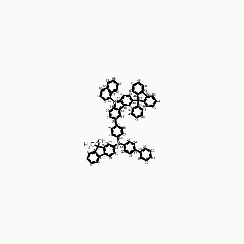 CC1(C)c2ccccc2-c2ccc(N(c3ccc(-c4ccccc4)cc3)c3ccc(-c4ccc5c(c4)c4cc(C6(c7ccccc7)c7ccccc7-c7ccccc76)ccc4n5-c4cccc5ccccc45)cc3)cc21